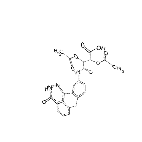 CC(=O)OC(C(=O)O)C(OC(C)=O)C(=O)Nc1ccc2c(c1)-c1n[nH]c(=O)c3cccc(c13)C2